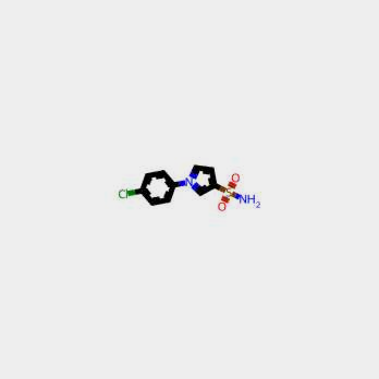 NS(=O)(=O)c1ccn(-c2ccc(Cl)cc2)c1